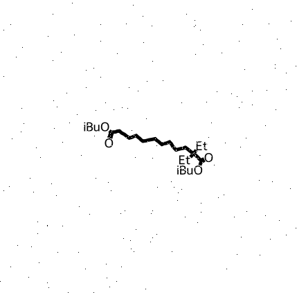 CCC(CC)(CCCCCCCCCC(=O)OCC(C)C)C(=O)OCC(C)C